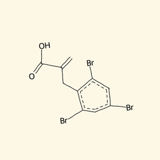 C=C(Cc1c(Br)cc(Br)cc1Br)C(=O)O